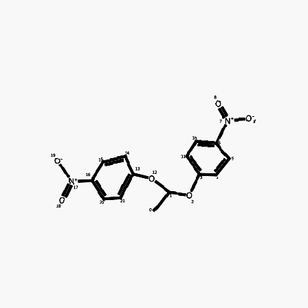 CC(Oc1ccc([N+](=O)[O-])cc1)Oc1ccc([N+](=O)[O-])cc1